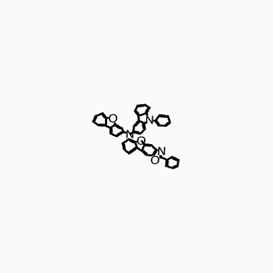 c1ccc(-c2nc3cc4oc5c(N(c6ccc7c(c6)oc6ccccc67)c6ccc7c(c6)c6ccccc6n7-c6ccccc6)cccc5c4cc3o2)cc1